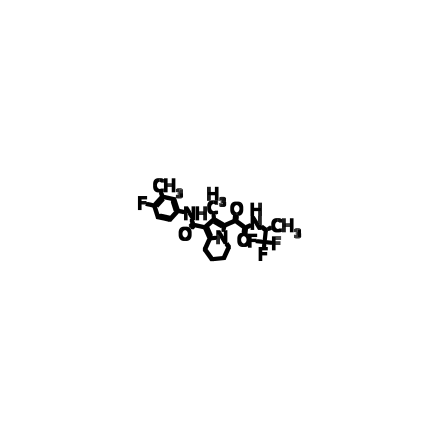 Cc1cc(NC(=O)c2c(C)c(C(=O)C(=O)N[C@@H](C)C(F)(F)F)n3c2CCCC3)ccc1F